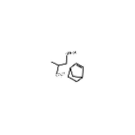 C1=CC2CCC1C2.CCCCCCCCC(C)C(=O)O